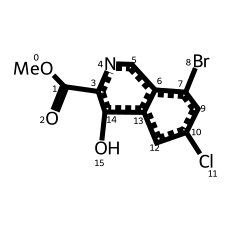 COC(=O)c1ncc2c(Br)cc(Cl)cc2c1O